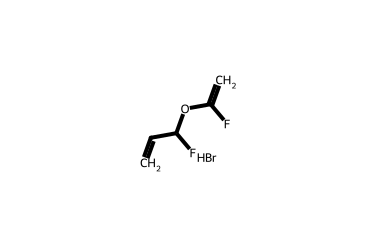 Br.C=CC(F)OC(=C)F